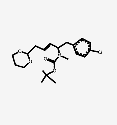 CN(C(=O)OC(C)(C)C)C(C=CCC1OCCCO1)Cc1ccc(Cl)cc1